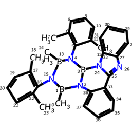 CB1N2B(N(c3c(C)cccc3C)B(C)N1c1c(C)cccc1C)n1c(nc3ccccc31)-c1ccccc12